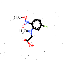 CO[N+](=O)c1ccc(F)cc1N(C)CC(=O)O